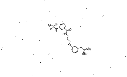 CCCCN(CCCC)Cc1cccc(OCCCNC(=O)c2cccc(NS(C)(=O)=O)c2)c1